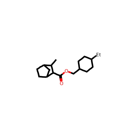 CCC1CCC(COC(=O)C2C3CCC(C3)C2C)CC1